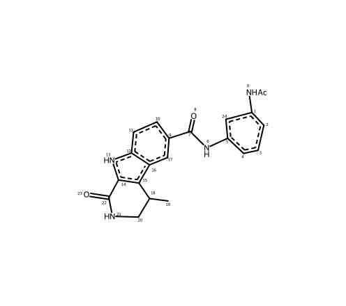 CC(=O)Nc1cccc(NC(=O)c2ccc3[nH]c4c(c3c2)C(C)CNC4=O)c1